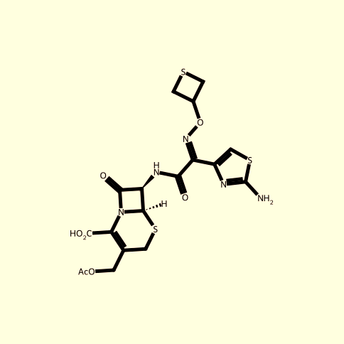 CC(=O)OCC1=C(C(=O)O)N2C(=O)[C@@H](NC(=O)C(=NOC3CSC3)c3csc(N)n3)[C@H]2SC1